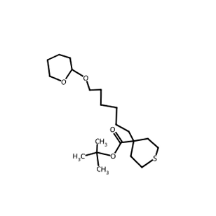 CC(C)(C)OC(=O)C1(CCCCCCOC2CCCCO2)CCSCC1